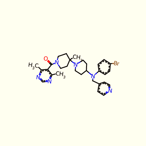 Cc1ncnc(C)c1C(=O)N1CCC(C)(N2CCC(N(Cc3ccncc3)c3ccc(Br)cc3)CC2)CC1